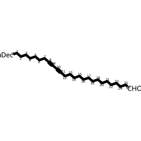 CCCCCCCCCCCCCCCCCC#CC#CCCCCCCCCCCCCCC[C]=O